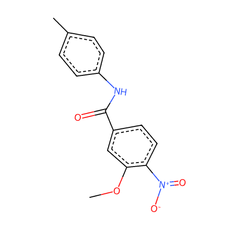 COc1cc(C(=O)Nc2ccc(C)cc2)ccc1[N+](=O)[O-]